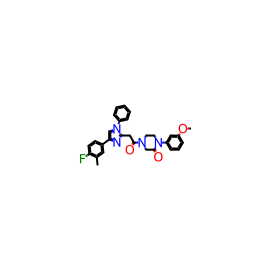 COc1cccc(N2CCN(C(=O)Cc3nc(-c4ccc(F)c(C)c4)cn3-c3ccccc3)CC2=O)c1